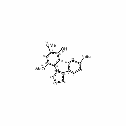 CCCCc1ccc(-c2cnnn2-c2cc(O)c(OC)cc2OC)cc1